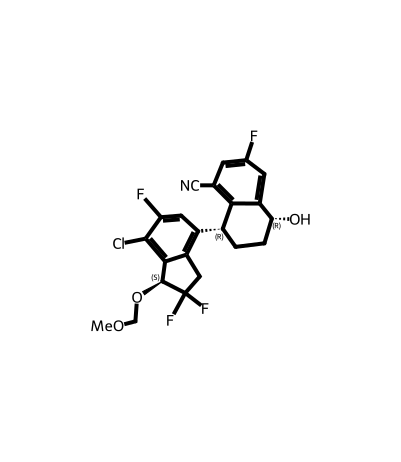 COCO[C@H]1c2c(Cl)c(F)cc([C@H]3CC[C@@H](O)c4cc(F)cc(C#N)c43)c2CC1(F)F